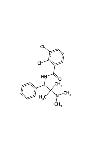 CN(C)C(C)(C)C(NC(=O)c1cccc(Cl)c1Cl)c1ccccc1